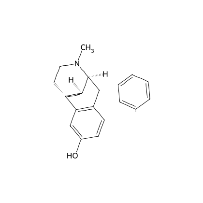 CN1CC[C@@]23CCCC[C@@H]2[C@@H]1Cc1ccc(O)cc13.[c]1ccccc1